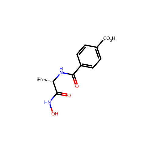 CC(C)[C@H](NC(=O)c1ccc(C(=O)O)cc1)C(=O)NO